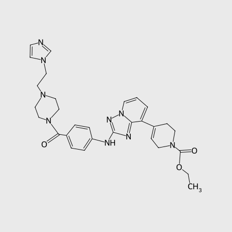 CCOC(=O)N1CC=C(c2cccn3nc(Nc4ccc(C(=O)N5CCN(CCn6ccnc6)CC5)cc4)nc23)CC1